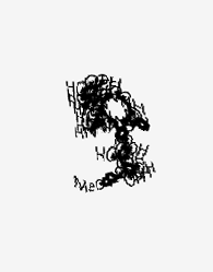 COc1ccc2cc(COC3C(OC4C(CO)OC(Oc5ccc(CC6NC(=O)C(C(C)c7ccccc7)NC(=O)CNC(=O)C(CO)NC(=O)C(C(O)C7CNC(=N)N7C7OC(CO)C(O)C(O)C7O)NC(=O)C(C(O)C7CNC(=N)N7)NC6=O)cc5)C(O)C4O)OC(CO)C(O)C3O)ccc2c1